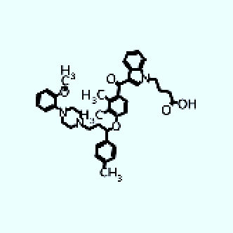 COc1ccccc1N1CCN(CCC(Oc2ccc(C(=O)c3cn(CCCC(=O)O)c4ccccc34)c(C)c2C)c2ccc(C)cc2)CC1